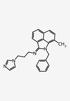 Cc1ccc2cccc3c2c1N(Cc1ccccc1)/C3=N/CCCn1ccnc1